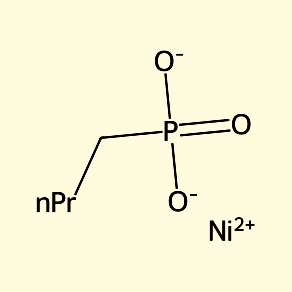 CCCCP(=O)([O-])[O-].[Ni+2]